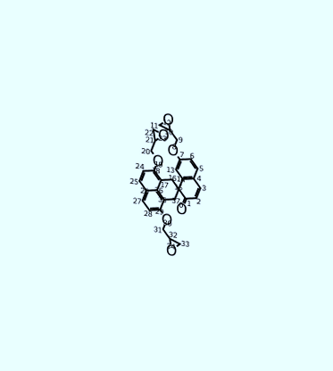 O=C1C=Cc2ccc(OCC3CO3)cc2C12Cc1c(OCC3CO3)ccc3ccc(OCC4CO4)c(c13)C2